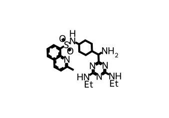 CCNc1nc(NCC)nc(C(N)C2CCC(NS(=O)(=O)c3cccc4ccc(C)nc34)CC2)n1